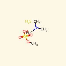 CN(C)C.COS(=O)(=O)O.S